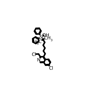 CC(C)(CCCCCc1c(CCl)ncc2cc(Cl)ccc12)[Si](O)(c1ccccc1)c1ccccc1